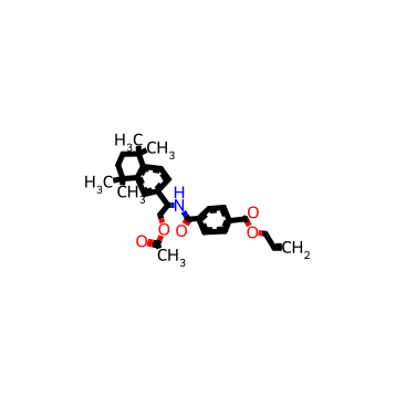 C=CCOC(=O)c1ccc(C(=O)NC(COC(C)=O)c2ccc3c(c2)C(C)(C)CCC3(C)C)cc1